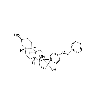 C[C@]12CC[C@H](O)C[C@H]1CC[C@@H]1[C@@H]2CC[C@]2(C)[C@@](O)(c3ccc(OCc4ccccc4)cc3)C=C[C@]12O